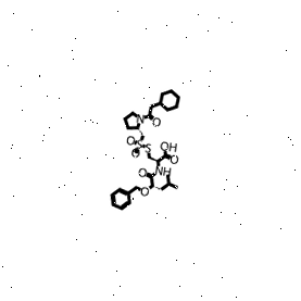 CC(C)C[C@H](OCc1ccccc1)C(=O)N[C@@H](CSS(=O)(=O)C[C@@H]1CCCN1C(=O)CC1CCCCC1)C(=O)O